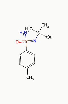 Cc1ccc(S(N)(=O)=N[Si](C)(C)C(C)(C)C)cc1